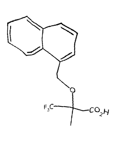 CC(OCc1cccc2ccccc12)(C(=O)O)C(F)(F)F